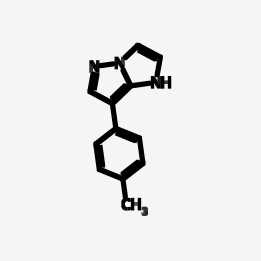 Cc1ccc(-c2cnn3cc[nH]c23)cc1